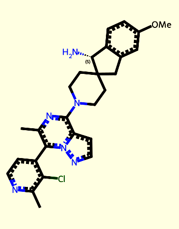 COc1ccc2c(c1)CC1(CCN(c3nc(C)c(-c4ccnc(C)c4Cl)n4nccc34)CC1)[C@@H]2N